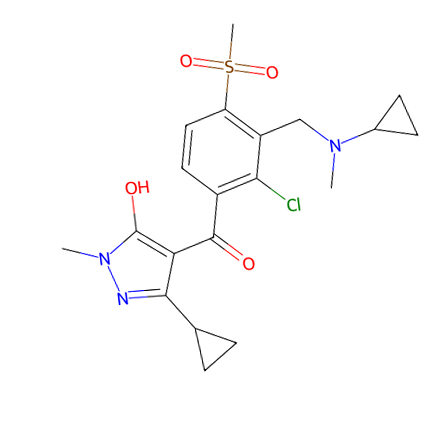 CN(Cc1c(S(C)(=O)=O)ccc(C(=O)c2c(C3CC3)nn(C)c2O)c1Cl)C1CC1